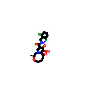 C[C@@H]1Cn2cc(C(=O)NCc3c(F)cccc3F)c(=O)c(O)c2C(=O)CCCCO1